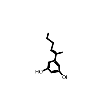 CCCC=C(C)c1cc(O)cc(O)c1